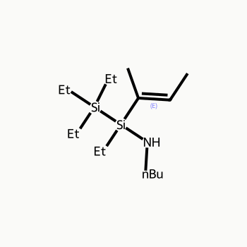 C/C=C(\C)[Si](CC)(NCCCC)[Si](CC)(CC)CC